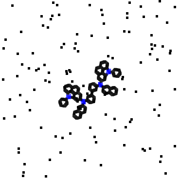 c1ccc(-n2c3cccc4ccc5cc(N(c6cccc(-c7cccc(N(c8ccc9ccccc9c8)c8cc9ccc%10cccc%11c%10c9c(c8)n%11-c8ccccc8)c7)c6)c6ccc7ccccc7c6)cc2c5c43)cc1